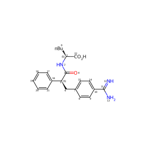 CCCC[C@H](NC(=O)[C@@H](Cc1ccc(C(=N)N)cc1)c1ccccc1)C(=O)O